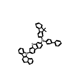 CC1(C)c2ccccc2-c2ccc(N(c3ccc(-c4ccccc4)cc3)c3ccc4c(c3)sc3cc(-n5c6ccccc6c6ccc7ccccc7c65)ccc34)cc21